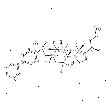 C[C@H](CCC(=O)O)[C@H]1CC[C@H]2[C@H]3[C@H](CC[C@]12C)[C@@]1(C)CC[C@](O)(c2ccc(-c4ccccc4)cc2)C[C@H]1CC3(F)F